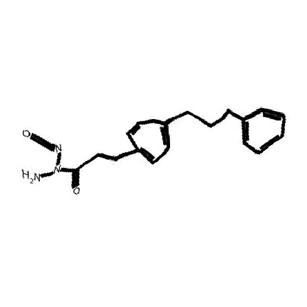 NN(N=O)C(=O)CCc1ccc(CCCc2ccccc2)cc1